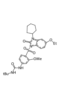 CCOc1ccc2c(c1)n(C1CCCCC1)c(=O)n2S(=O)(=O)c1ccc(NC(=O)NC(C)(C)C)cc1OC